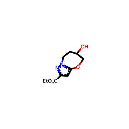 CCOC(=O)c1cc2n(n1)CCC(O)CO2